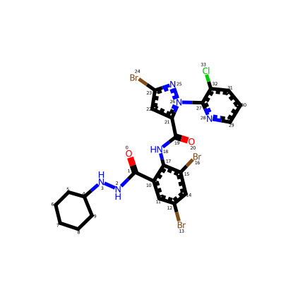 O=C(NNC1CCCCC1)c1cc(Br)cc(Br)c1NC(=O)c1cc(Br)nn1-c1ncccc1Cl